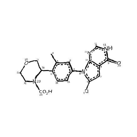 Cc1cc(-n2c(Cl)cc3c(=O)[nH]cnc32)ccc1C1COCCN1C(=O)O